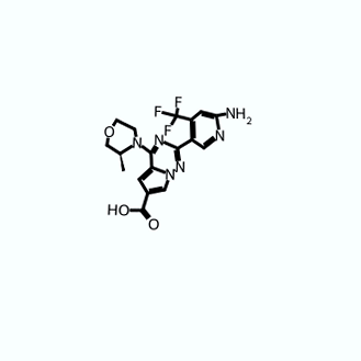 C[C@H]1COCCN1c1nc(-c2cnc(N)cc2C(F)(F)F)nn2cc(C(=O)O)cc12